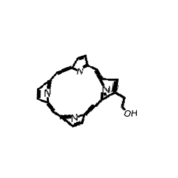 OCCC1=CC2=CC3=NC(=CC4=NC(=CC5=NC(=CC1=N2)C=C5)C=C4)C=C3